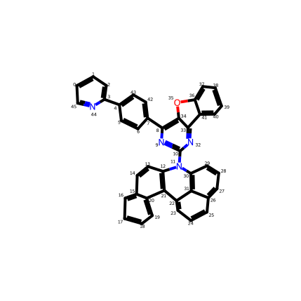 c1ccc(-c2ccc(-c3nc(N4c5ccc6ccccc6c5-c5cccc6cccc4c56)nc4c3oc3ccccc34)cc2)nc1